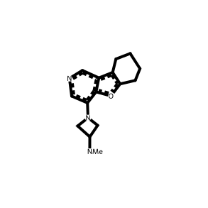 CNC1CN(c2cncc3c4c(oc23)CCCC4)C1